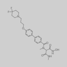 CNC(=O)C(C(=O)NO)N(C)C(=O)c1ccc(-c2ccc(OCCCN3CCC(F)(F)CC3)cc2)cc1